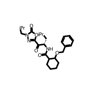 CC(C)C[C@H](NC(=O)C1CCCCC1OCc1ccccc1)C(=O)c1nn(CC(C)C)c(=O)o1